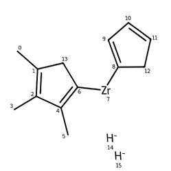 CC1=C(C)C(C)=[C]([Zr][C]2=CC=CC2)C1.[H-].[H-]